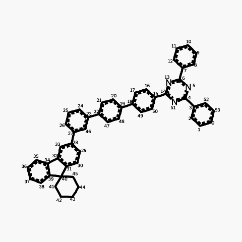 c1ccc(-c2nc(-c3ccccc3)nc(-c3ccc(-c4ccc(-c5cccc(-c6ccc7c(c6)-c6ccccc6C76CCCCC6)c5)cc4)cc3)n2)cc1